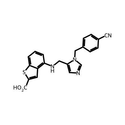 N#Cc1ccc(Cn2cncc2CNc2cccc3sc(C(=O)O)cc23)cc1